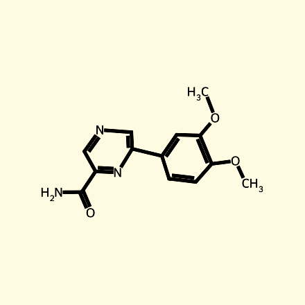 COc1ccc(-c2cncc(C(N)=O)n2)cc1OC